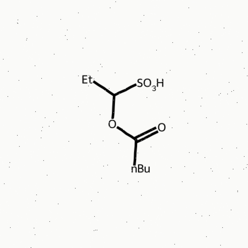 CCCCC(=O)OC(CC)S(=O)(=O)O